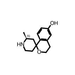 C[C@H]1CC2(CCN1)OCCc1cc(O)ccc12